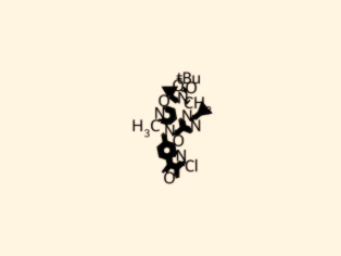 Cc1nc(OC2(CN(C)C(=O)OC(C)(C)C)CC2)ccc1N(Cc1ccc2c3c(c(Cl)nc2c1)COC3)C(=O)c1cnc(C2CC2)nc1